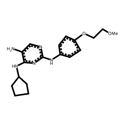 COCCOc1ccc(Nc2ncc(N)c(NC3CCCC3)n2)cc1